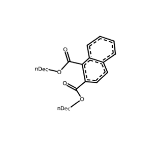 CCCCCCCCCCOC(=O)c1ccc2ccccc2c1C(=O)OCCCCCCCCCC